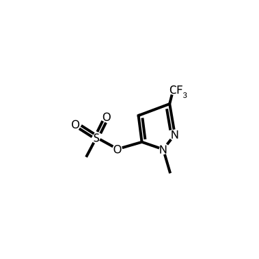 Cn1nc(C(F)(F)F)cc1OS(C)(=O)=O